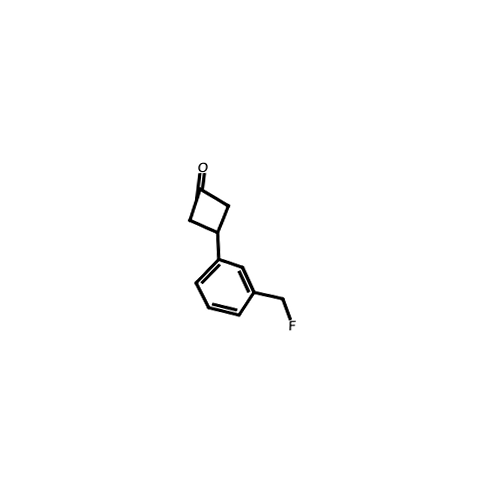 O=C1CC(c2cccc(CF)c2)C1